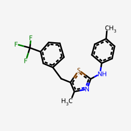 Cc1ccc(Nc2nc(C)c(Cc3cccc(C(F)(F)F)c3)s2)cc1